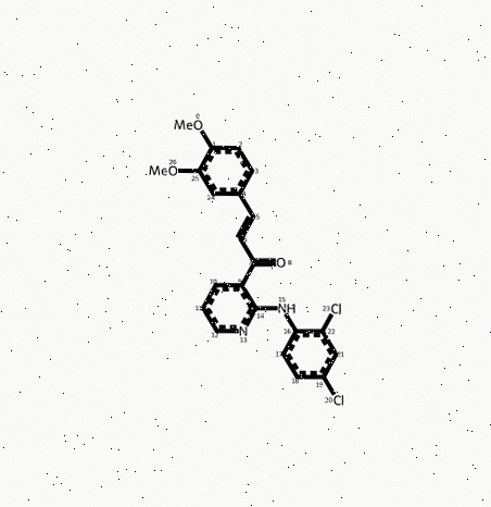 COc1ccc(C=CC(=O)c2cccnc2Nc2ccc(Cl)cc2Cl)cc1OC